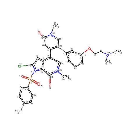 Cc1ccc(S(=O)(=O)n2c(Cl)cc3c(-c4cc(=O)n(C)cc4-c4cccc(OCCN(C)C)c4)cn(C)c(=O)c32)cc1